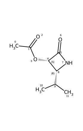 CC(=O)O[C@@H]1C(=O)N[C@@H]1C(C)C